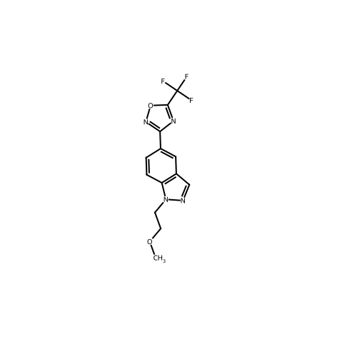 COCCn1ncc2cc(-c3noc(C(F)(F)F)n3)ccc21